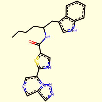 CCCCC(Cc1c[nH]c2ccccc12)NC(=O)c1cnc(-c2cncc3cnnn23)s1